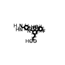 N=C(N)c1ccc2[nH]c(-c3cc(CCC(=O)O)cc(-c4cc(F)ccc4O)c3O)nc2c1